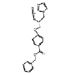 [N-]=[N+]=N[C@@H](COc1ccc(C(=O)OCc2ccccc2)cc1)Cn1cncn1